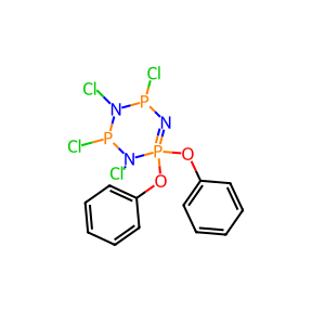 ClN1P(Cl)N=P(Oc2ccccc2)(Oc2ccccc2)N(Cl)P1Cl